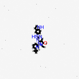 CCn1c(=O)c2cnc(Nc3ccc4c(c3)CCN4)nc2n1-c1cccc(C(C)(C)C)n1